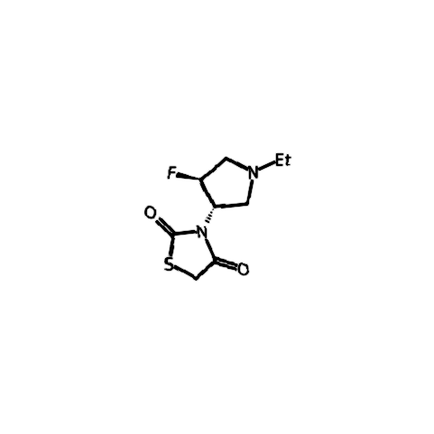 CCN1C[C@H](F)[C@@H](N2C(=O)CSC2=O)C1